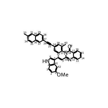 COc1ccc2[nH]cc(/C=C/c3nc4ccccc4c(=O)n3-c3ccc(C#Cc4ccc5cc(C)ccc5c4)cc3C)c2c1